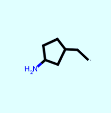 [CH2]CC1CCC(N)C1